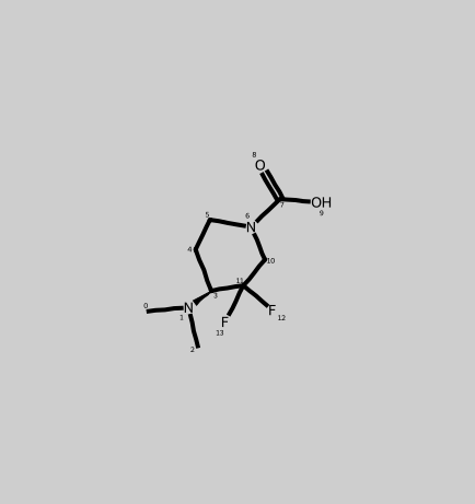 CN(C)[C@H]1CCN(C(=O)O)CC1(F)F